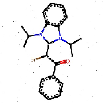 CC(C)N1c2ccccc2N(C(C)C)C1C(Br)C(=O)c1ccccc1